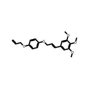 C=CCOc1ccc(OC/C=C/c2cc(OC)c(OC)c(OC)c2)cc1